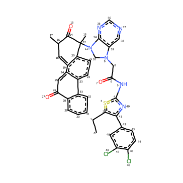 CCc1sc(NC(=O)CN2CN(C3(C)C(=O)C(C)C=c4c3ccc3c4=CC(=O)c4ccccc4-3)c3ncncc32)nc1-c1ccc(Cl)c(Cl)c1